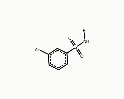 CCNS(=O)(=O)c1cccc(C(C)=O)c1